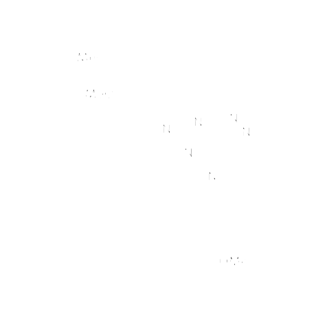 COc1ccc(CN2CCc3nn(C)c4nc(NCCc5cccc(OC)c5OC)nc2c34)cc1